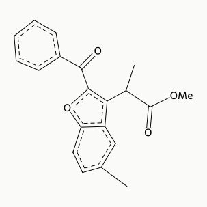 COC(=O)C(C)c1c(C(=O)c2ccccc2)oc2ccc(C)cc12